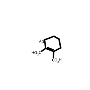 O=C(O)C1=C(C(=O)O)CCCC1.[Ag]